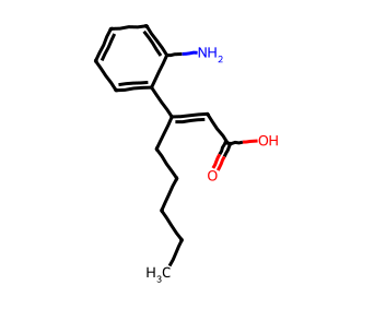 CCCCCC(=CC(=O)O)c1ccccc1N